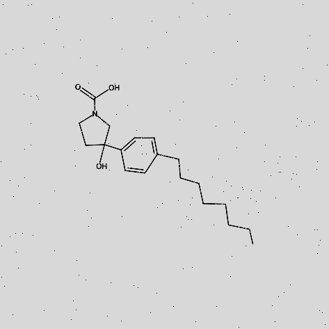 CCCCCCCCc1ccc(C2(O)CCN(C(=O)O)C2)cc1